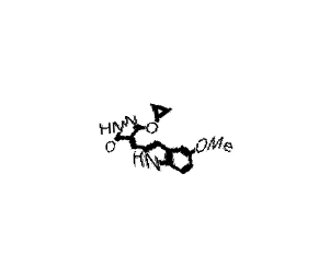 COc1ccc2[nH]c(C=C3C(=O)NN=C3OC3CC3)cc2c1